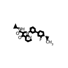 C[C@@H]1C[C@H]1c1ccc(-c2cccc(-n3cc(C(=O)NC4CC4)c(=O)c4cccnc43)c2)cc1F